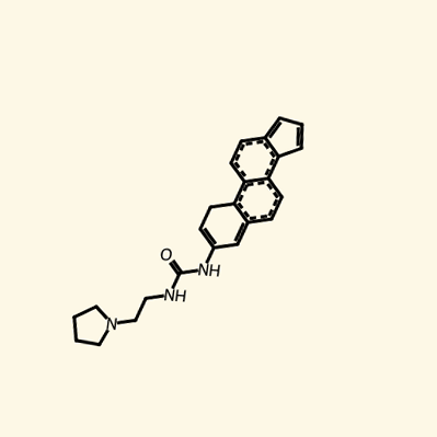 O=C(NCCN1CCCC1)NC1=CCc2c(ccc3c4c(ccc23)=CC=C4)=C1